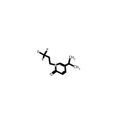 CC(C)c1ccc(=O)n(CCC(F)(F)F)c1